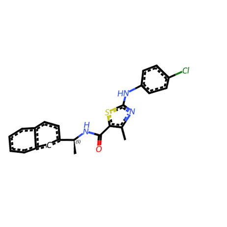 Cc1nc(Nc2ccc(Cl)cc2)sc1C(=O)N[C@@H](C)c1ccc2ccccc2c1